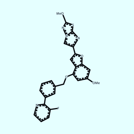 COc1cc(OCc2cccc(-c3ncccc3F)c2)c2cc(-c3cn4nc(OC)sc4n3)oc2c1